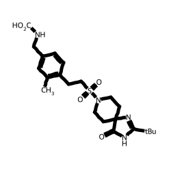 Cc1cc(CNC(=O)O)ccc1CCS(=O)(=O)N1CCC2(CC1)N=C(C(C)(C)C)NC2=O